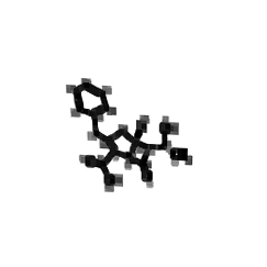 C[C@@H](O)[C@H]1C(=O)N2C(C(=O)O)=C(Cc3ccccc3)C[C@H]12